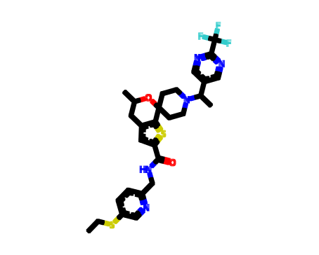 CCSc1ccc(CNC(=O)c2cc3c(s2)C2(CCN(C(C)c4cnc(C(F)(F)F)nc4)CC2)OC(C)C3)nc1